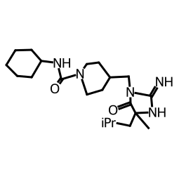 CC(C)CC1(C)NC(=N)N(CC2CCN(C(=O)NC3CCCCC3)CC2)C1=O